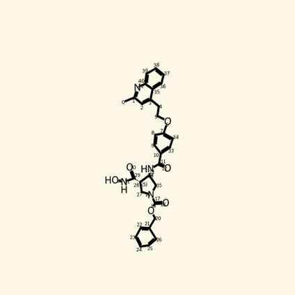 Cc1cc(CCOc2ccc(C(=O)N[C@@H]3CN(C(=O)OCc4ccccc4)C[C@@H]3C(=O)NO)cc2)c2ccccc2n1